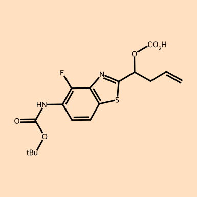 C=CCC(OC(=O)O)c1nc2c(F)c(NC(=O)OC(C)(C)C)ccc2s1